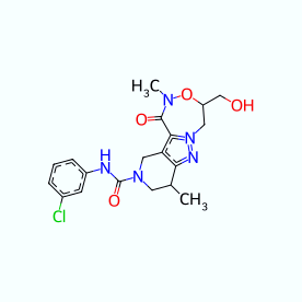 CC1CN(C(=O)Nc2cccc(Cl)c2)Cc2c1nn1c2C(=O)N(C)OC(CO)C1